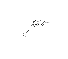 CCCCCCC/C=C\C(O)CC(=O)O